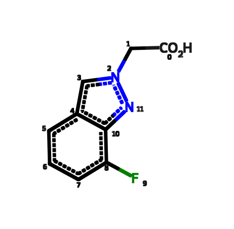 O=C(O)Cn1cc2cccc(F)c2n1